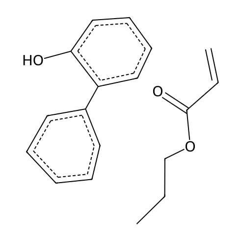 C=CC(=O)OCCC.Oc1ccccc1-c1ccccc1